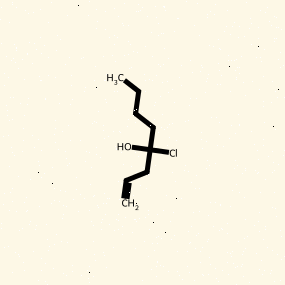 C=CCC(O)(Cl)CCCC